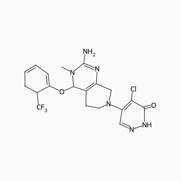 CN1C(N)=NC2=C(CCN(c3cn[nH]c(=O)c3Cl)C2)C1OC1=CC=CCC1C(F)(F)F